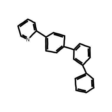 c1ccc(-c2cccc(-c3ccc(-c4ccccn4)cc3)c2)cc1